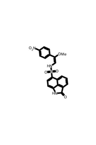 COC(=CNS(=O)(=O)c1ccc2c3c(cccc13)C(=O)N2)c1ccc([N+](=O)[O-])cc1